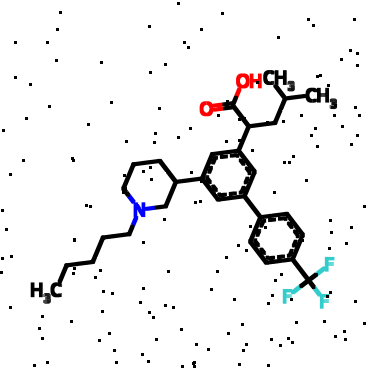 CCCCCN1CCCC(c2cc(-c3ccc(C(F)(F)F)cc3)cc(C(CC(C)C)C(=O)O)c2)C1